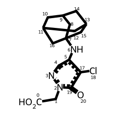 O=C(O)Cn1ncc(NC23CC4CC(CC(C4)C2)C3)c(Cl)c1=O